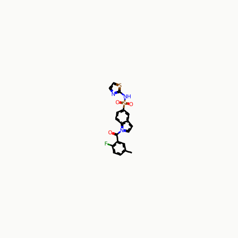 Cc1ccc(F)c(C(=O)n2ccc3cc(S(=O)(=O)Nc4nccs4)ccc32)c1